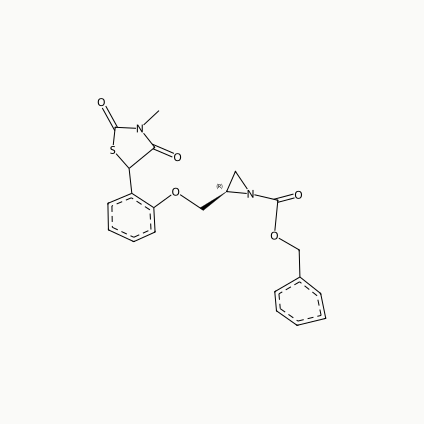 CN1C(=O)SC(c2ccccc2OC[C@H]2CN2C(=O)OCc2ccccc2)C1=O